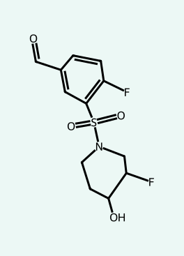 O=Cc1ccc(F)c(S(=O)(=O)N2CCC(O)C(F)C2)c1